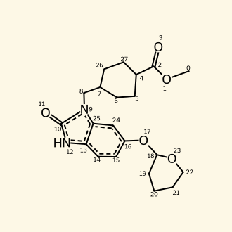 COC(=O)C1CCC(Cn2c(=O)[nH]c3ccc(OC4CCCCO4)cc32)CC1